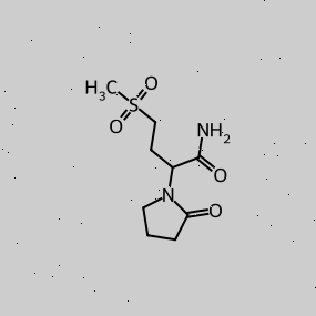 CS(=O)(=O)CCC(C(N)=O)N1CCCC1=O